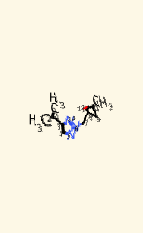 CC(C)c1cnn(CC23CC(C)(C2)C3)n1